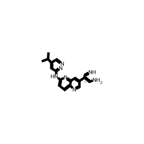 CC(C)c1cnnc(Nc2ccc3ncc(/C(C=N)=C/N)cc3n2)c1